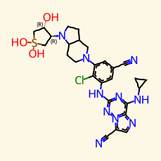 N#Cc1cc(Nc2nc(NC3CC3)c3ncc(C#N)n3n2)c(Cl)c(N2CCC3C(CCN3[C@H]3CS(O)(O)C[C@@H]3O)C2)c1